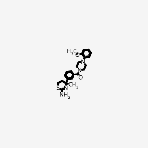 COc1ccccc1N1CCN(C(=O)c2cccc(C3(C)CCSC(N)=N3)c2)CC1